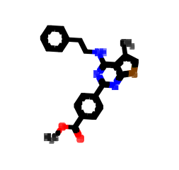 COC(=O)c1ccc(-c2nc(NCCc3ccccc3)c3c(C)csc3n2)cc1